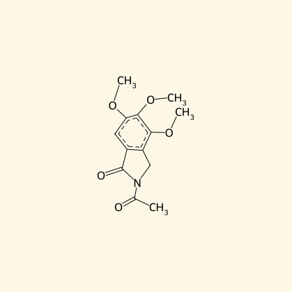 COc1cc2c(c(OC)c1OC)CN(C(C)=O)C2=O